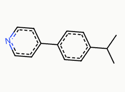 CC(C)c1ccc(-c2ccncc2)cc1